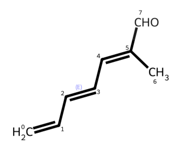 C=C/C=C/C=C(C)C=O